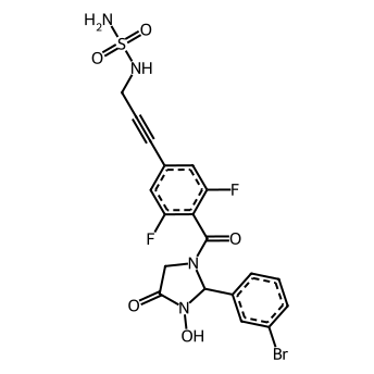 NS(=O)(=O)NCC#Cc1cc(F)c(C(=O)N2CC(=O)N(O)C2c2cccc(Br)c2)c(F)c1